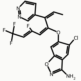 C\C=C(/C(=C\C(F)=C\C(F)(F)F)Oc1cc2onc(N)c2cc1Cl)c1ccnnc1